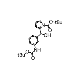 CC(C)(C)OC(=O)Nc1cccc(C(O)c2cccn2C(=O)OC(C)(C)C)c1